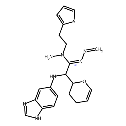 C=N/N=C(/C(Nc1ccc2[nH]cnc2c1)C1CCC=CO1)N(N)CCc1cccs1